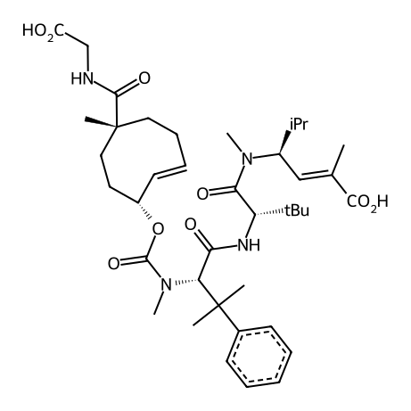 C/C(=C\[C@H](C(C)C)N(C)C(=O)[C@@H](NC(=O)[C@@H](N(C)C(=O)O[C@H]1/C=C/CC[C@@](C)(C(=O)NCC(=O)O)CC1)C(C)(C)c1ccccc1)C(C)(C)C)C(=O)O